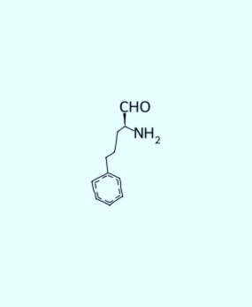 N[C@H](C=O)CCCc1ccccc1